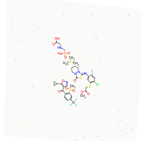 COC(=O)CSc1cc(/N=c2\sc(=O)n3n2CCCC3)c(F)cc1Cl.CS(=O)(=O)c1cc(C(F)(F)F)ccc1C(=O)c1cnoc1C1CC1.C[S+](C)C.O=C(O)CNCP(=O)([O-])O